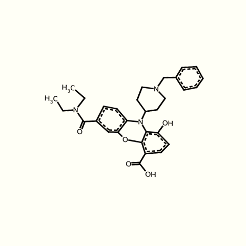 CCN(CC)C(=O)c1ccc2c(c1)Oc1c(C(=O)O)ccc(O)c1N2C1CCN(Cc2ccccc2)CC1